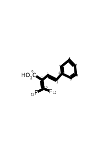 O=C(O)C(C=Cc1ccccc1)=C(F)F